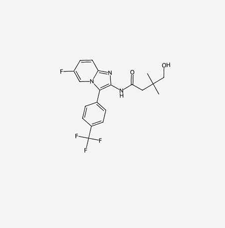 CC(C)(CO)CC(=O)Nc1nc2ccc(F)cn2c1-c1ccc(C(F)(F)F)cc1